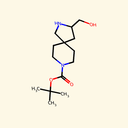 CC(C)(C)OC(=O)N1CCC2(CC1)CNC(CO)C2